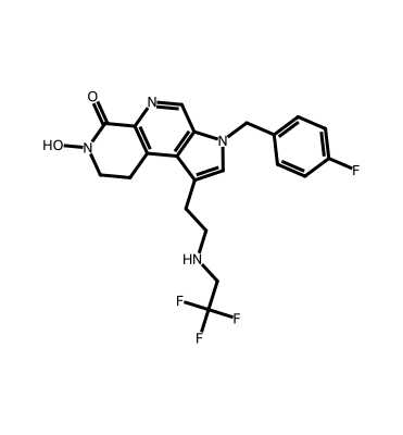 O=C1c2ncc3c(c(CCNCC(F)(F)F)cn3Cc3ccc(F)cc3)c2CCN1O